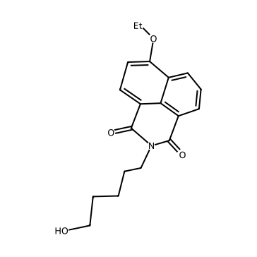 CCOc1ccc2c3c(cccc13)C(=O)N(CCCCCO)C2=O